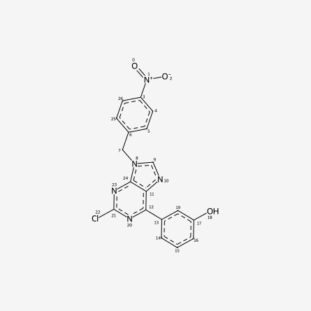 O=[N+]([O-])c1ccc(Cn2cnc3c(-c4cccc(O)c4)nc(Cl)nc32)cc1